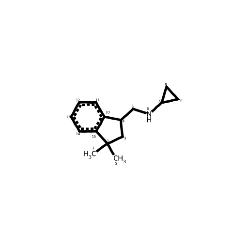 CC1(C)CC(CNC2CC2)c2ccccc21